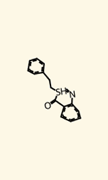 O=C1c2ccccc2N=C[SH]1CCc1ccccc1